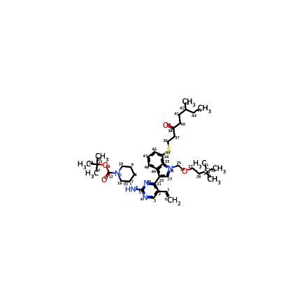 C=Cc1cnc(N[C@H]2CCCN(C(=O)OC(C)(C)C)C2)nc1-c1cn(COCC[Si](C)(C)C)c2c(SCCC(=O)CCC(C)CC)cccc12